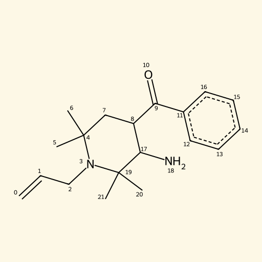 C=CCN1C(C)(C)CC(C(=O)c2ccccc2)C(N)C1(C)C